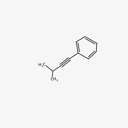 CC(C)C#Cc1cc[c]cc1